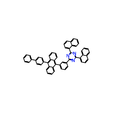 c1ccc(-c2ccc(-c3c4ccccc4c(-c4cccc(-c5nc(-c6cccc7ccccc67)nc(-c6cccc7ccccc67)n5)c4)c4ccccc34)cc2)cc1